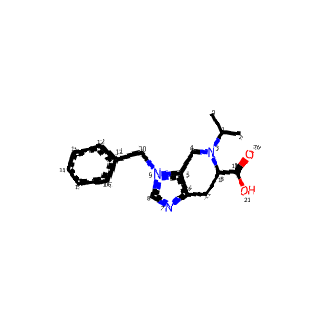 CC(C)N1Cc2c(ncn2Cc2ccccc2)CC1C(=O)O